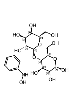 OC[C@H]1O[C@@H](O[C@H]2[C@H](O)[C@@H](O)[C@H](O)O[C@@H]2CO)[C@H](O)[C@@H](O)[C@H]1O.ONc1ccccc1